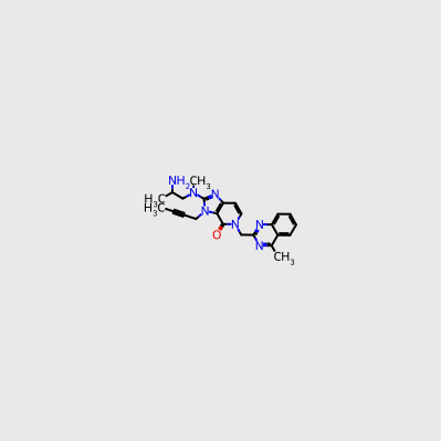 CC#CCn1c(N(C)CC(C)N)nc2ccn(Cc3nc(C)c4ccccc4n3)c(=O)c21